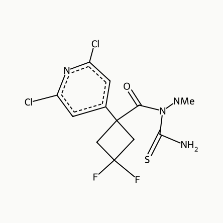 CNN(C(=O)C1(c2cc(Cl)nc(Cl)c2)CC(F)(F)C1)C(N)=S